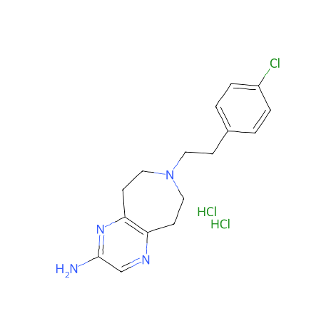 Cl.Cl.Nc1cnc2c(n1)CCN(CCc1ccc(Cl)cc1)CC2